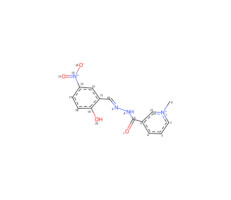 C[n+]1cccc(C(=O)N/N=C/c2cc([N+](=O)[O-])ccc2O)c1